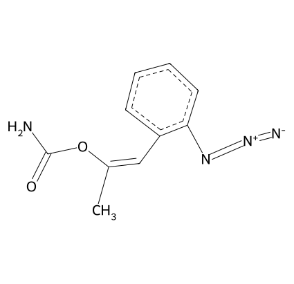 CC(=Cc1ccccc1N=[N+]=[N-])OC(N)=O